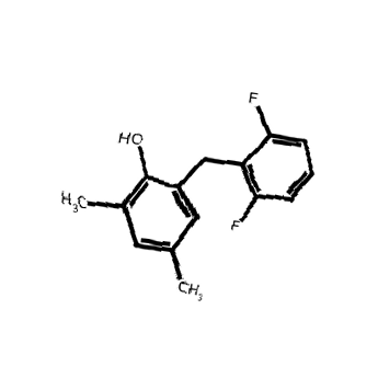 Cc1cc(C)c(O)c(Cc2c(F)cccc2F)c1